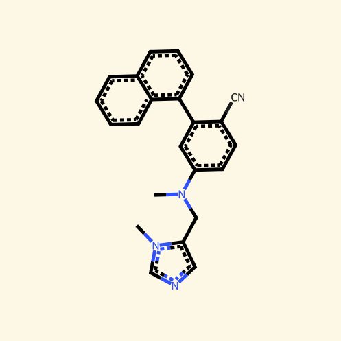 CN(Cc1cncn1C)c1ccc(C#N)c(-c2cccc3ccccc23)c1